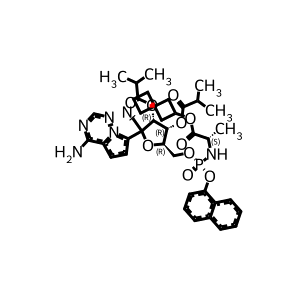 CC(C)C(=O)O[C@H]1[C@@H](OC(=O)C(C)C)C(C#N)(c2ccc3c(N)ncnn23)O[C@@H]1COP(=O)(N[C@@H](C)C(=O)OC1CC2(CCC2)C1)Oc1cccc2ccccc12